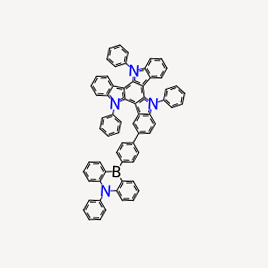 c1ccc(N2c3ccccc3B(c3ccc(-c4ccc5c(c4)c4c6c(c7ccccc7n6-c6ccccc6)c6c(c7ccccc7n6-c6ccccc6)c4n5-c4ccccc4)cc3)c3ccccc32)cc1